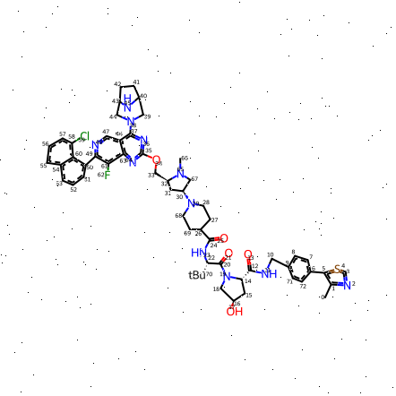 Cc1ncsc1-c1ccc(CNC(=O)[C@@H]2C[C@@H](O)CN2C(=O)[C@@H](NC(=O)C2CCN([C@H]3C[C@@H](COc4nc(N5CC6CCC(C5)N6)c5cnc(-c6cccc7cccc(Cl)c67)c(F)c5n4)N(C)C3)CC2)C(C)(C)C)cc1